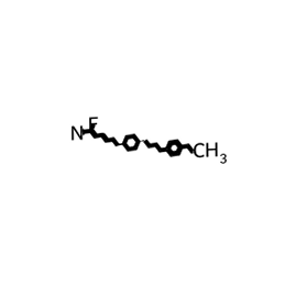 CCCc1ccc(CCCC[C@H]2CC[C@H](CCC=CC=C(F)C#N)CC2)cc1